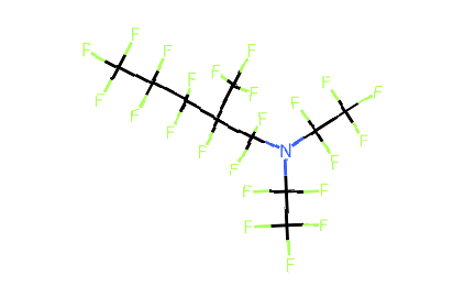 FC(F)(F)C(F)(F)N(C(F)(F)C(F)(F)F)C(F)(F)C(F)(C(F)(F)F)C(F)(F)C(F)(F)C(F)(F)F